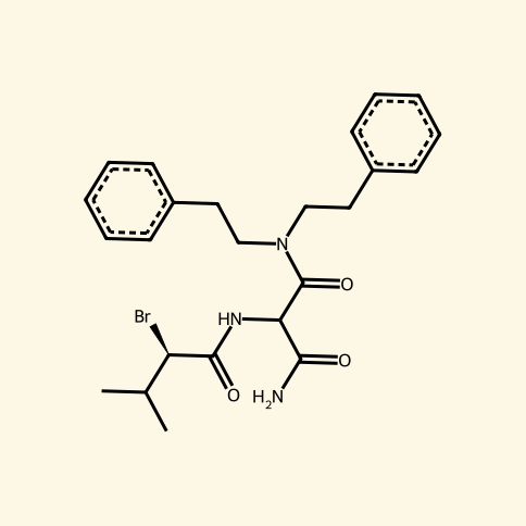 CC(C)[C@@H](Br)C(=O)NC(C(N)=O)C(=O)N(CCc1ccccc1)CCc1ccccc1